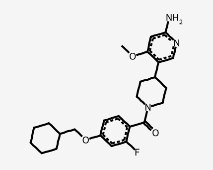 COc1cc(N)ncc1C1CCN(C(=O)c2ccc(OCC3CCCCC3)cc2F)CC1